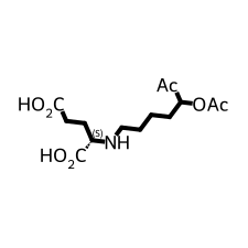 CC(=O)OC(CCCCN[C@@H](CCC(=O)O)C(=O)O)C(C)=O